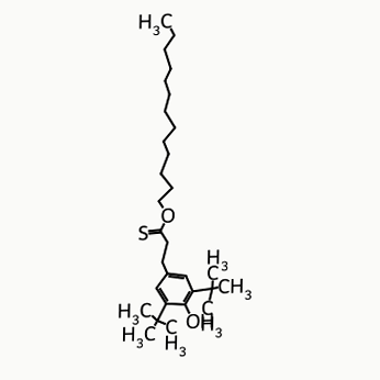 CCCCCCCCCCCCCOC(=S)CCc1cc(C(C)(C)C)c(O)c(C(C)(C)C)c1